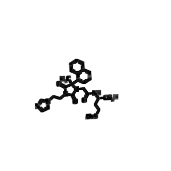 CSCCC(NC(=O)CN1C(=O)N(CCn2ccnc2)C(=O)C1(C)c1cccc2ccccc12)C(=O)O